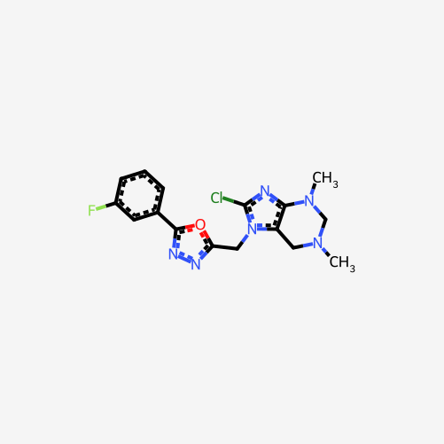 CN1Cc2c(nc(Cl)n2Cc2nnc(-c3cccc(F)c3)o2)N(C)C1